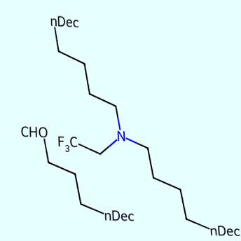 CCCCCCCCCCCCCC=O.CCCCCCCCCCCCCCN(CCCCCCCCCCCCCC)CC(F)(F)F